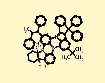 CC(c1ccccc1)C(c1ccccc1)c1cc2c3c(c1)-n1c4c(c5cc(C(C)(C)C)cc(c51)B3c1cccc3c1N2C1(C)CCCCC31C)C(c1ccccc1)(c1ccccc1)c1ccccc1-4